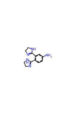 Nc1ccc(C2=NCCN2)c(C2=NCCN2)c1